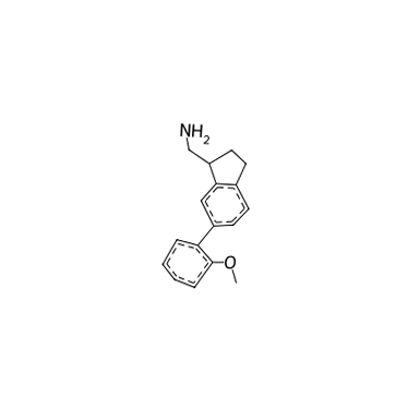 COc1ccccc1-c1ccc2c(c1)C(CN)CC2